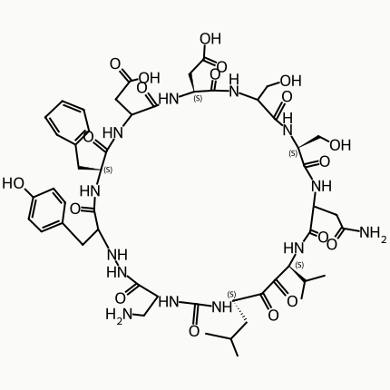 CC(C)C[C@@H]1NC(=O)NC(CN)C(=O)NNC(Cc2ccc(O)cc2)C(=O)N[C@@H](Cc2ccccc2)C(=O)NC(CC(=O)O)C(=O)N[C@@H](CC(=O)O)C(=O)NC(CO)C(=O)N[C@@H](CO)C(=O)NC(CC(N)=O)C(=O)N[C@@H](C(C)C)C(=O)C1=O